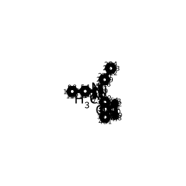 CN1C(c2ccc(-c3ccccc3)cc2)=NC(c2ccc(-c3ccccc3)cc2)=NC1c1ccc2c(c1)Oc1ccccc1C21c2ccccc2-c2ccccc21